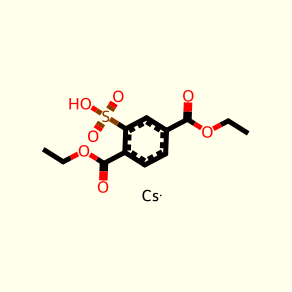 CCOC(=O)c1ccc(C(=O)OCC)c(S(=O)(=O)O)c1.[Cs]